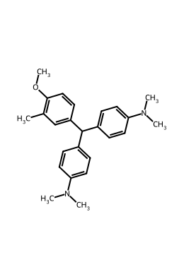 COc1ccc(C(c2ccc(N(C)C)cc2)c2ccc(N(C)C)cc2)cc1C